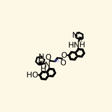 O=C(/C=C/C(=O)N(c1cccc2ccc(O)cc12)[C@H]1CN2CCC1CC2)Oc1ccc2cccc(N[C@H]3CN4CCC3CC4)c2c1